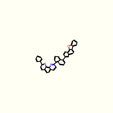 c1ccc(-c2ccc3ccc4ccc(-c5cccc6c(-c7ccc8c(ccc9c%10ccccc%10oc89)c7)cccc56)nc4c3n2)cc1